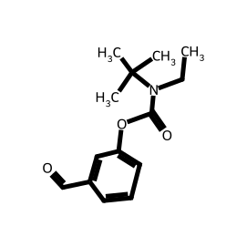 CCN(C(=O)Oc1cccc(C=O)c1)C(C)(C)C